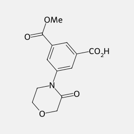 COC(=O)c1cc(C(=O)O)cc(N2CCOCC2=O)c1